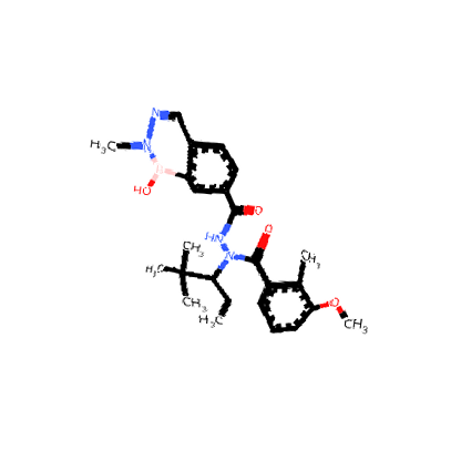 CCC(N(NC(=O)c1ccc2c(c1)B(O)N(C)N=C2)C(=O)c1cccc(OC)c1C)C(C)(C)C